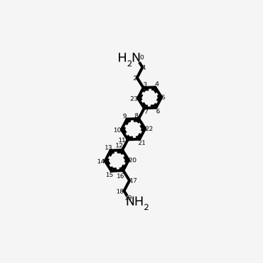 NCCc1cccc(-c2ccc(-c3cccc(CCN)c3)cc2)c1